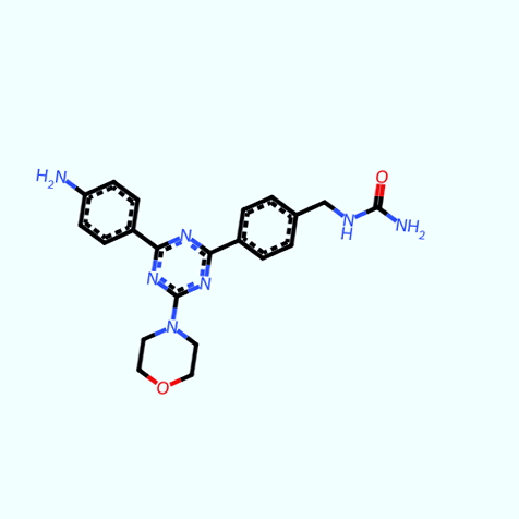 NC(=O)NCc1ccc(-c2nc(-c3ccc(N)cc3)nc(N3CCOCC3)n2)cc1